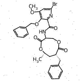 COc1cc(Br)nc(C(=O)NC2COC(=O)[C@H](Cc3ccccc3)C[C@H](C)OC2=O)c1OCc1ccccc1